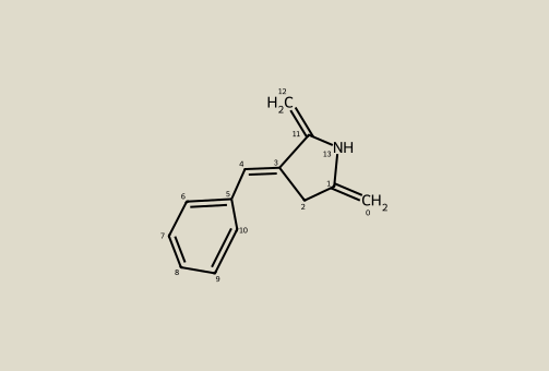 C=C1C/C(=C\c2ccccc2)C(=C)N1